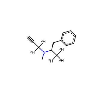 [2H]C([2H])([2H])[C@H](Cc1ccccc1)N(C)C([2H])([2H])C#C